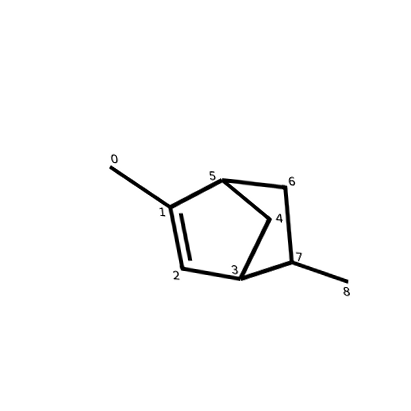 CC1=CC2CC1CC2C